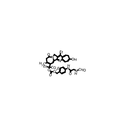 CCOC(=O)C(CC)(OC(=O)OCc1ccc(NC(=O)CNC=O)cc1)C1=C(C)CC(=O)N2Cc3c(nc4c(c3CC)=CCC(O)=CC=4)C2=C1